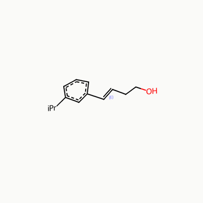 CC(C)c1cccc(/C=C/CCO)c1